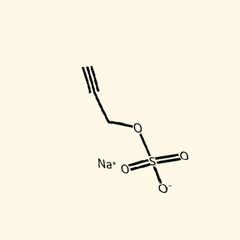 C#CCOS(=O)(=O)[O-].[Na+]